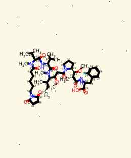 CCC(C)C(C(CC(=O)N1CCC[C@H]1C(OC)[C@@H](C)C(=O)NC(Cc1ccccc1F)C(=O)O)OC)N(C)C(=O)[C@@H](NC(=O)C(C(C)C)N(C)C(=O)CCCCCN1C(=O)C=CC1=O)C(C)C